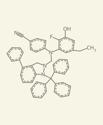 CCc1cc(O)c(F)c(N(CN2Cc3c(-c4ccccc4)cccc3N2C(c2ccccc2)(c2ccccc2)c2ccccc2)c2ccc(C#N)cc2)c1